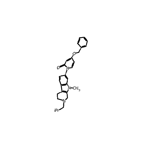 CC(C)CN1CCc2c(n(C)c3cc(-n4ccc(OCc5ccccc5)cc4=O)ccc23)C1